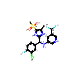 Cc1[nH]c(C(Nc2cncc(C(F)F)c2)c2ccc(F)c(Cl)c2)nc1S(C)(=O)=O